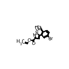 CCOC(=O)c1cc(-c2cc(Br)ccc2Cl)n(C)n1